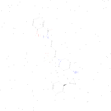 CS(=O)(=O)C(CCCNC(=O)c1ccccc1O)N1CCC(N[C@@H]2C[C@H]2c2ccccc2)CC1